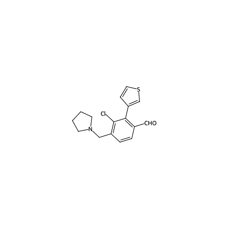 O=Cc1ccc(CN2CCCC2)c(Cl)c1-c1ccsc1